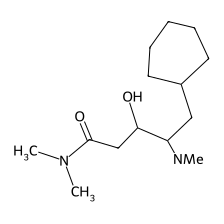 CNC(CC1CCCCC1)C(O)CC(=O)N(C)C